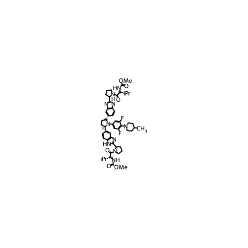 COC(=O)N[C@H](C(=O)N1CCCC1c1nc2cc([C@H]3CC[C@H](c4ccc5[nH]c(C6CCCN6C(=O)[C@@H](NC(=O)OC)C(C)C)nc5c4)N3c3cc(F)c(N4CCC(C)CC4)c(F)c3)ccc2[nH]1)C(C)C